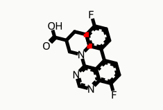 O=C(O)C1CCCN(c2ncnc3c(F)ccc(-c4ccc(F)cc4)c23)C1